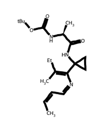 C\C=C/C=N\C(=C(/C)CC)C1(NC(=O)[C@H](C)NC(=O)OC(C)(C)C)CC1